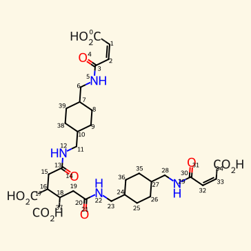 O=C(O)/C=C\C(=O)NCC1CCC(CNC(=O)CC(C(=O)O)C(CC(=O)NCC2CCC(CNC(=O)/C=C\C(=O)O)CC2)C(=O)O)CC1